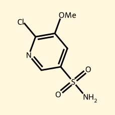 COc1cc(S(N)(=O)=O)cnc1Cl